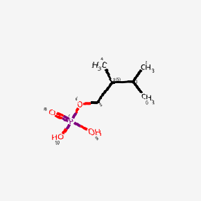 CC(C)[C@H](C)COP(=O)(O)O